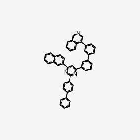 c1ccc(-c2ccc(-c3nc(-c4cccc(-c5cccc(-c6cncc7ccccc67)c5)c4)cc(-c4ccc5ccccc5c4)n3)cc2)cc1